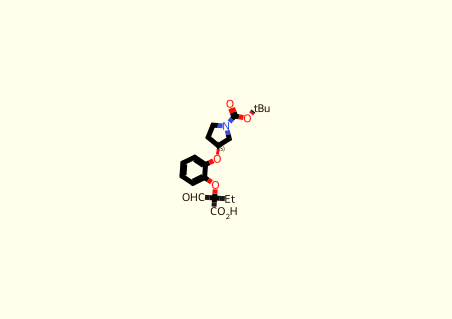 CCC(C=O)(Oc1ccccc1O[C@H]1CCN(C(=O)OC(C)(C)C)C1)C(=O)O